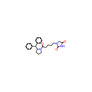 O=C1CN(CCCCC(=O)N2CCCC2C(c2ccccc2)c2ccccc2)C(=O)N1